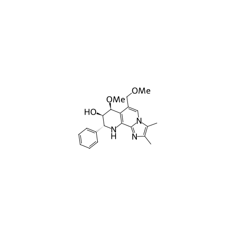 COCc1cn2c(C)c(C)nc2c2c1[C@H](OC)[C@H](O)[C@@H](c1ccccc1)N2